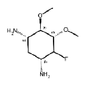 CO[C@H]1[C@H](OC)C(F)[C@H](N)C[C@@H]1N